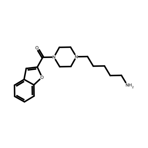 NCCCCCN1CCN(C(=O)c2cc3ccccc3o2)CC1